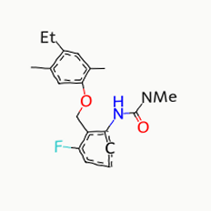 CCc1cc(C)c(OCc2c(F)cccc2NC(=O)NC)cc1C